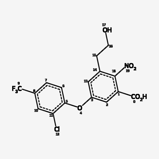 O=C(O)c1cc(Oc2ccc(C(F)(F)F)cc2Cl)cc(CCO)c1[N+](=O)[O-]